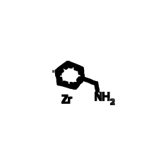 NCc1cc[c]cc1.[Zr]